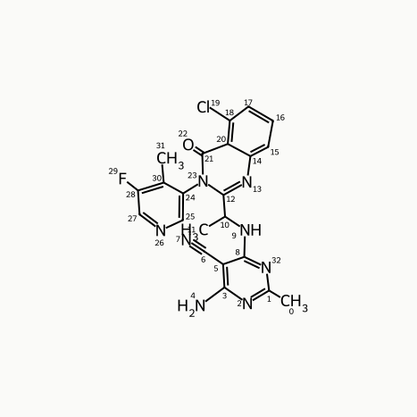 Cc1nc(N)c(C#N)c(NC(C)c2nc3cccc(Cl)c3c(=O)n2-c2cncc(F)c2C)n1